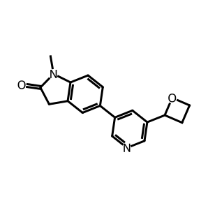 CN1C(=O)Cc2cc(-c3cncc(C4CCO4)c3)ccc21